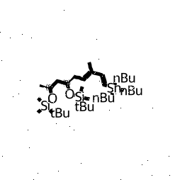 CCC[CH2][Sn]([CH]=CC(C)=CC[C@H](C[C@H](C)O[Si](C)(C)C(C)(C)C)O[Si](C)(C)C(C)(C)C)([CH2]CCC)[CH2]CCC